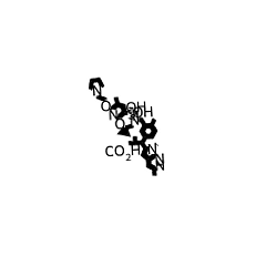 Cc1cc2cc(C(c3ccc(C)c(CN4CC5(CC5)Oc5nc(OCCN6CCCC6)c(C)cc5S4(O)O)c3)C(C)(C)C(=O)O)n(C)c2nn1